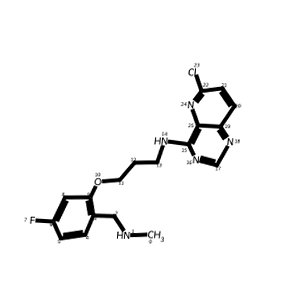 CNCc1ccc(F)cc1OCCCNc1ncnc2ccc(Cl)nc12